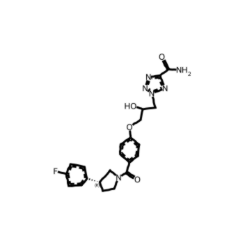 NC(=O)c1nnn(CC(O)COc2ccc(C(=O)N3CC[C@H](c4ccc(F)cc4)C3)cc2)n1